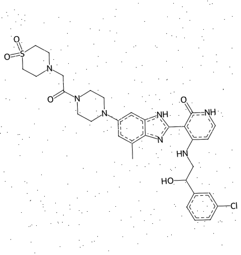 Cc1cc(N2CCN(C(=O)CN3CCS(=O)(=O)CC3)CC2)cc2[nH]c(-c3c(NCC(O)c4cccc(Cl)c4)cc[nH]c3=O)nc12